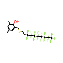 Cc1cc(C)c(O)c(CSCCC(F)(F)C(F)(F)C(F)(F)C(F)(F)C(F)(F)C(F)(F)C(F)(F)C(F)(F)F)c1